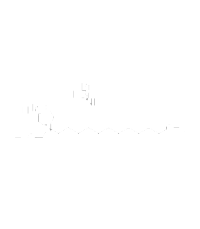 Br.CCCCCCCCCCCC[N+](CC)(CC)CC.N.[Br-]